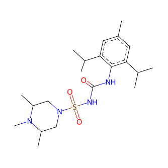 Cc1cc(C(C)C)c(NC(=O)NS(=O)(=O)N2CC(C)N(C)C(C)C2)c(C(C)C)c1